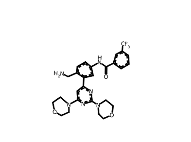 NCc1ccc(NC(=O)c2cccc(C(F)(F)F)c2)cc1-c1cc(N2CCOCC2)nc(N2CCOCC2)n1